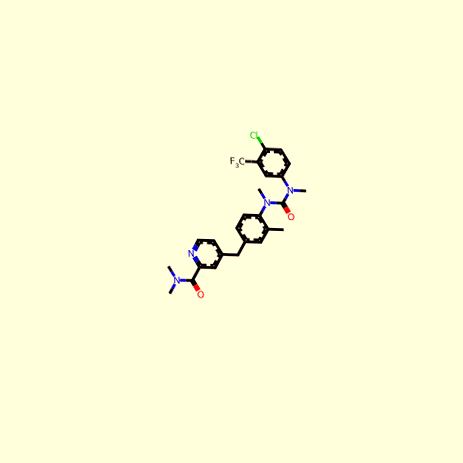 Cc1cc(Cc2ccnc(C(=O)N(C)C)c2)ccc1N(C)C(=O)N(C)c1ccc(Cl)c(C(F)(F)F)c1